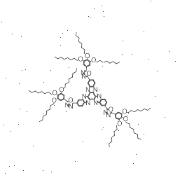 CCCCCCCCOc1cc(-c2nnc(-c3ccc4nc5c6nc7ccc(-c8nnc(-c9cc(OCCCCCCCC)c(OCCCCCCCC)c(OCCCCCCCC)c9)o8)cc7nc6c6nc7cc(-c8nnc(-c9cc(OCCCCCCCC)c(OCCCCCCCC)c(OCCCCCCCC)c9)o8)ccc7nc6c5nc4c3)o2)cc(OCCCCCCCC)c1OCCCCCCCC